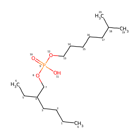 CCCCC(CC)COP(=O)(O)OCCCCCC(C)C